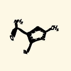 Cc1cc(C(N)=O)c(Br)s1